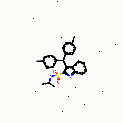 Cc1ccc(C(c2ccc(C)cc2)c2c(S(=O)(=O)NC(C)C)[nH]c3ccccc23)cc1